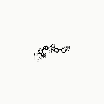 Nc1noc2c(N3CC[C@@H](NC(=O)c4ccc(-c5ccc6nncn6c5)cc4Cl)C3)ncc(Cl)c12